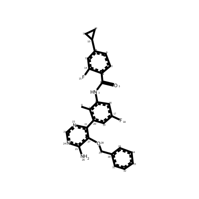 Cc1c(NC(=O)c2ccc(C3CC3)cc2F)cc(F)cc1-c1ncnc(N)c1OCc1ccccc1